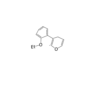 CCOc1ccccc1C1=[C]OC=CC1